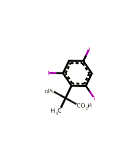 CCCC(C)(C(=O)O)c1c(I)cc(I)cc1I